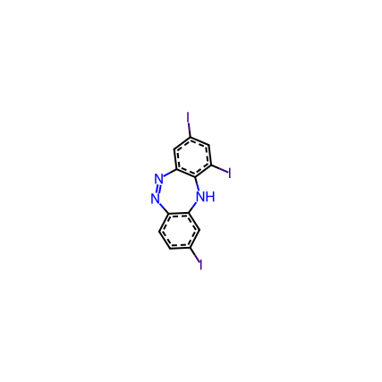 Ic1cc(I)c2c(c1)N=Nc1ccc(I)cc1N2